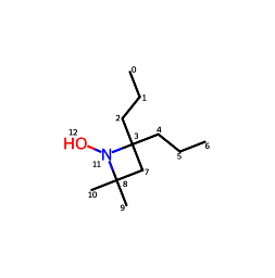 CCCC1(CCC)CC(C)(C)N1O